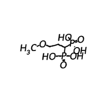 COCCC(P(=O)(O)O)P(=O)(O)O